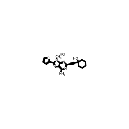 Cl.Cn1c(-c2ccco2)nc2c(N)nc(C#CC3(O)CCCCC3)nc21